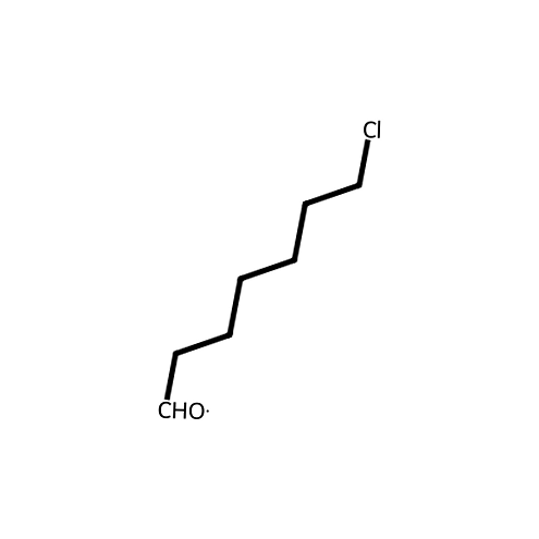 O=[C]CCCCCCCl